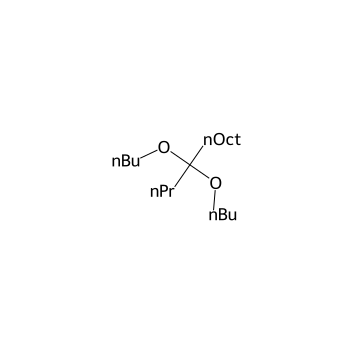 CCCCCCCCC(CCC)(OCCCC)OCCCC